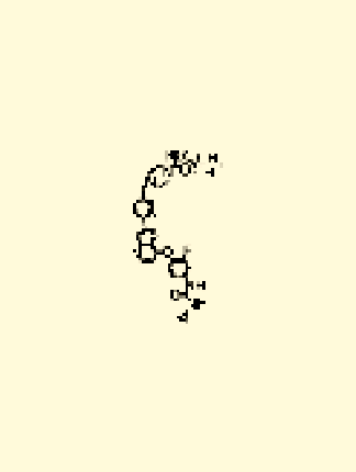 CC(C)(C)OC(=O)N1CCN(Cc2ccc(-c3cc4nccc(Oc5ccc(NC(=O)NC6CC6)cc5F)c4s3)nc2)CC1